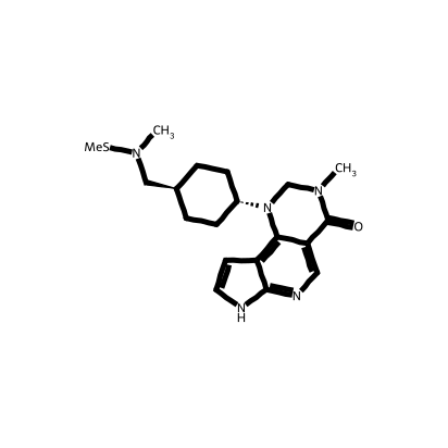 CSN(C)C[C@H]1CC[C@H](N2CN(C)C(=O)c3cnc4[nH]ccc4c32)CC1